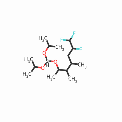 CC(C)O[SiH](OC(C)C)OC(C)C(C)C(C)CC(F)C(F)F